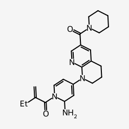 C=C(CC)C(=O)N1C=CC(N2CCCc3cc(C(=O)N4CCCCC4)cnc32)=CC1N